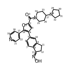 O=C(c1cc(-c2ccc3c(c2)CC/C3=N\O)c(-c2ccncc2)o1)N1CCC(N2CCCC2)CC1